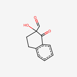 O=CC1(O)CCc2ccccc2C1=O